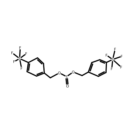 O=S(OCc1ccc(S(F)(F)(F)(F)F)cc1)OCc1ccc(S(F)(F)(F)(F)F)cc1